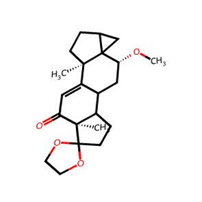 CO[C@@H]1CC2C(=CC(=O)[C@@]3(C)C2CCC32OCCO2)[C@@]2(C)CCC3CC312